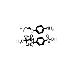 CC(C)(C)C(=O)Nc1ccc(S(=O)(=O)O)cc1.CCOc1ccc(N)cc1